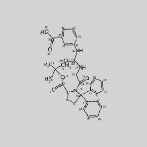 CC(C)(C)OC(=O)C1CCC(c2ccccc2)(c2ccccc2)N1C(=O)CNC(=O)Nc1cccc(C(=O)O)c1